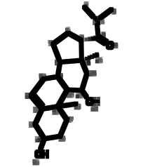 CN(C)C(=O)[C@H]1CCC2C3CC=C4CC(O)CCC4(C)C3C(O)C[C@@]21C